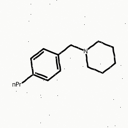 CCCc1ccc(CN2CCCCC2)cc1